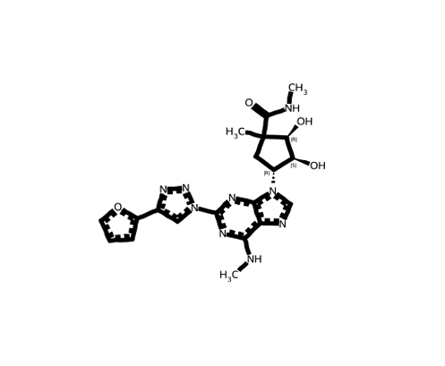 CNC(=O)C1(C)C[C@@H](n2cnc3c(NC)nc(-n4cc(-c5ccco5)nn4)nc32)[C@H](O)[C@@H]1O